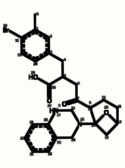 Cc1cc(CC(CC(=O)N2CCC3CC2(N2CNc4ccccc4C2)O3)C(=O)O)ccc1Br